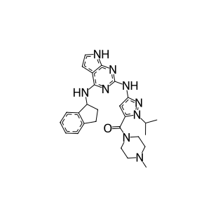 CC(C)n1nc(Nc2nc(NC3CCc4ccccc43)c3cc[nH]c3n2)cc1C(=O)N1CCN(C)CC1